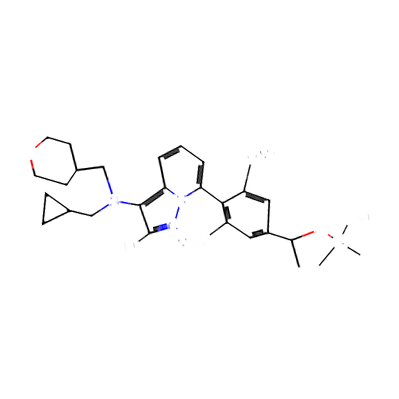 CCc1nn2c(-c3c(OC)cc(C(C)O[Si](C)(C)C(C)(C)C)cc3OC)cccc2c1N(CC1CCOCC1)CC1CC1